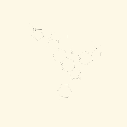 CN([C@H]1CCC2=Cc3c(cnn3-c3ccc(F)cc3)C[C@]2(C(=O)c2cc(C(F)(F)F)ccn2)C1)S(=O)(=O)c1cnn(C)c1